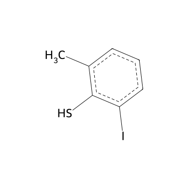 Cc1cccc(I)c1S